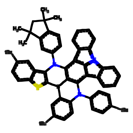 CC(C)(C)c1ccc(N2c3ccc(C(C)(C)C)cc3B3c4sc5ccc(C(C)(C)C)cc5c4N(c4ccc5c(c4)C(C)(C)CC5(C)C)c4c3c2c2c3ccccc3n3c5ccccc5c4c23)cc1